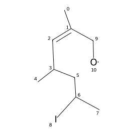 CC(=CC(C)CC(C)I)C[O]